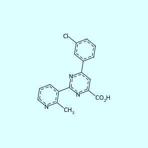 Cc1ncccc1-c1nc(C(=O)O)cc(-c2cccc(Cl)c2)n1